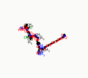 Cc1csc2c(OC(=O)N(C)CCN(C)C(=O)OCc3ccc(NC(=O)[C@H](CCCNC(N)=O)NC(=O)[C@@H](NC(=O)CCOCCOCCOCCOCCOCCOCCN4C(=O)C=CC4=O)C(C)C)cc3)cc3c(c12)[C@H](CCl)CN3C(=O)C12CC(C(=O)N3C[C@@H](CCl)c4c3cc(OP(=O)(O)N=O)c3scc(C)c43)(C1)C2